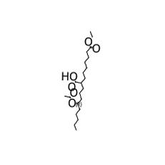 CCCCC[C@H](CCCC(CCCCCCC(=O)OCC)C(=O)O)OC(C)=O